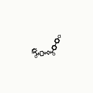 O=C(c1ccc(-c2ccc(Cl)cc2)cc1)N1CC(N2CCN(C(=O)c3nccs3)CC2)C1